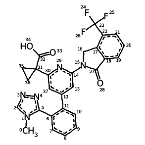 Cn1cnnc1-c1ccccc1-c1cc(N2Cc3c(cccc3C(F)(F)F)C2=O)nc(C2(C(=O)O)CC2)c1